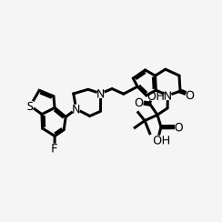 CC(C)(C)C(CN1C(=O)CCc2ccc(CCN3CCN(c4cc(F)cc5sccc45)CC3)cc21)(C(=O)O)C(=O)O